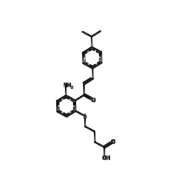 CC(C)c1ccc(C=CC(=O)c2c(N)cccc2SCCCC(=O)O)cc1